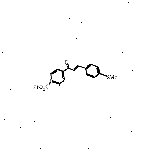 CCOC(=O)c1ccc(C(=O)C=Cc2ccc(SC)cc2)cc1